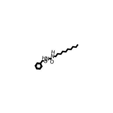 CCCCCCCCCCNC(=O)NOCc1ccccc1